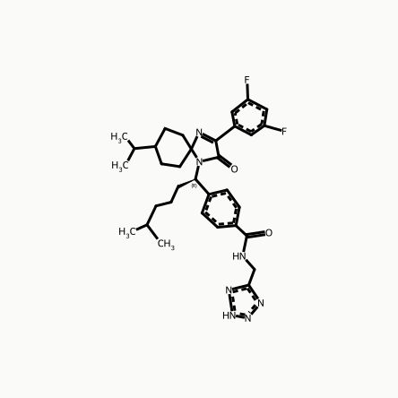 CC(C)CCC[C@H](c1ccc(C(=O)NCc2nn[nH]n2)cc1)N1C(=O)C(c2cc(F)cc(F)c2)=NC12CCC(C(C)C)CC2